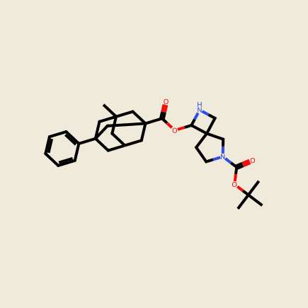 CC12CC3CC(C(=O)OC4NCC45CCN(C(=O)OC(C)(C)C)C5)(C1)CC(c1ccccc1)(C3)C2